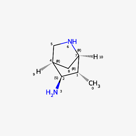 C[C@@H]1[C@@H](N)[C@H]2CN[C@@H]1C2